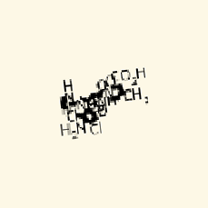 C[C@@H]1CCN(C(=O)[C@H](CCCNc2ncc[nH]2)NS(=O)(=O)c2cc(Cl)c(N)c(Cl)c2)[C@H](OC(=O)O)C1